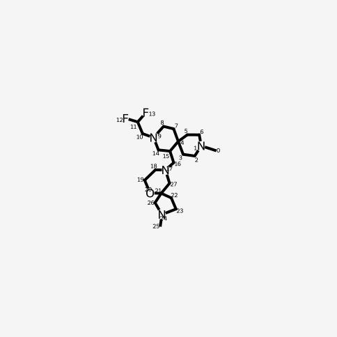 CN1CCC2(CC1)CCN(CC(F)F)CC2CN1CCOC2(CCN(C)C2)C1